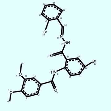 COc1ccc(C(=O)Nc2ccc(Br)cc2C(=O)NN=Cc2ccccc2Br)cc1OC